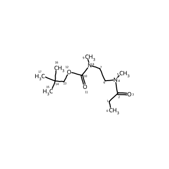 CCC(=O)N(C)CCN(C)C(=O)OCC(C)(C)C